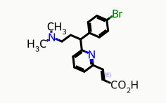 CN(C)CCC(c1ccc(Br)cc1)c1cccc(/C=C/C(=O)O)n1